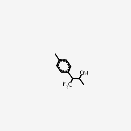 Cc1ccc(C(C(C)O)C(F)(F)F)cc1